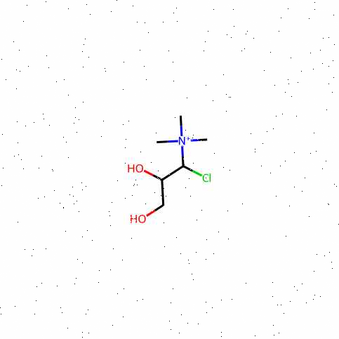 C[N+](C)(C)C(Cl)C(O)CO